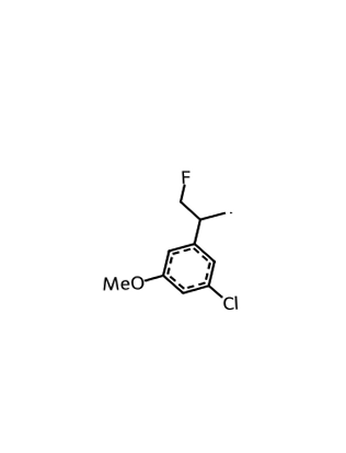 [CH2]C(CF)c1cc(Cl)cc(OC)c1